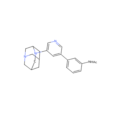 CC(=O)Nc1cccc(-c2cncc(N3CC4CC5CC3CN(C5)C4)c2)c1